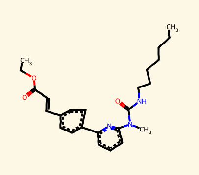 CCCCCCCNC(=O)N(C)c1cccc(-c2ccc(C=CC(=O)OCC)cc2)n1